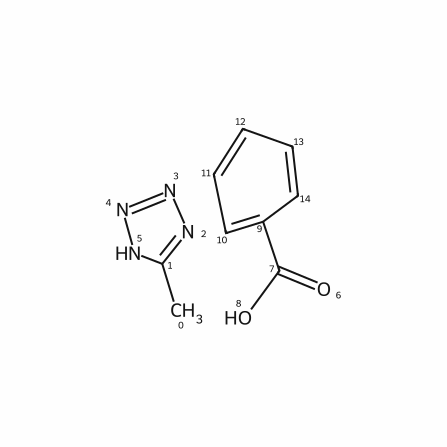 Cc1nnn[nH]1.O=C(O)c1ccccc1